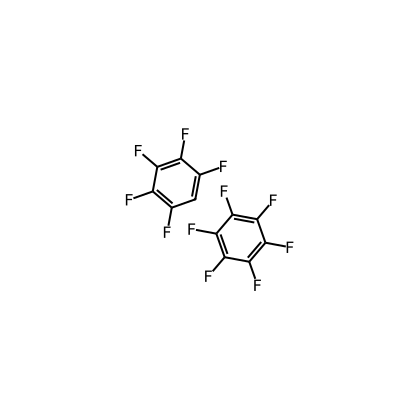 Fc1c(F)c(F)c(F)c(F)c1F.Fc1cc(F)c(F)c(F)c1F